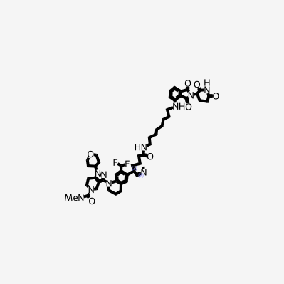 C/N=C\C(=C/CCC(=O)NCCCCCCCCNc1cccc2c1C(=O)N(C1CCC(=O)NC1=O)C2=O)c1cc2c(cc1C(F)F)N(c1nn(C3CCOCC3)c3c1CN(C(=O)NC)CC3)CCC2